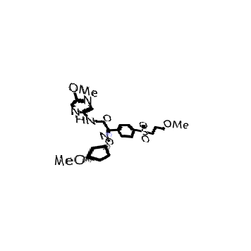 COCCCS(=O)(=O)c1ccc(/C(=N\O[C@@H]2CC[C@@H](OC)C2)C(=O)Nc2cnc(OC)cn2)cc1